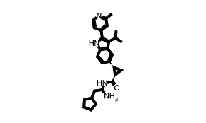 Cc1cc(-c2[nH]c3ccc([C@@H]4C[C@H]4C(=O)NC(N)CC4CCCC4)cc3c2C(C)C)ccn1